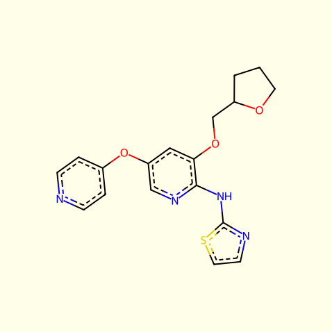 c1cc(Oc2cnc(Nc3nccs3)c(OCC3CCCO3)c2)ccn1